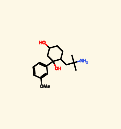 COc1cccc(C2(O)CC(O)CCC2CC(C)(C)N)c1